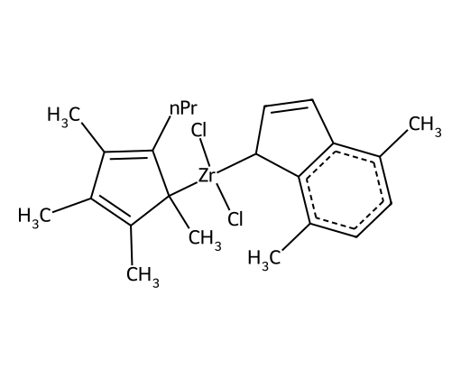 CCCC1=C(C)C(C)=C(C)[C]1(C)[Zr]([Cl])([Cl])[CH]1C=Cc2c(C)ccc(C)c21